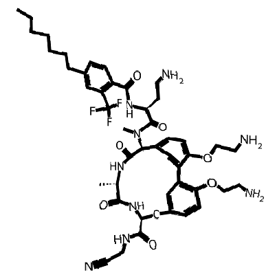 CCCCCCCc1ccc(C(=O)N[C@@H](CCN)C(=O)N(C)[C@@H]2C(=O)N[C@@H](C)C(=O)N[C@H](C(=O)NCC#N)Cc3ccc(OCCN)c(c3)-c3cc2ccc3OCCN)c(C(F)(F)F)c1